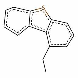 CCc1cccc2sc3ccccc3c12